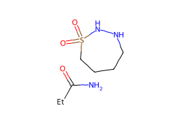 CCC(N)=O.O=S1(=O)CCCCNN1